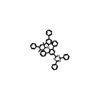 CC1CC2N(c3c(-c4ccccc4)cc(-c4nc(-c5ccccc5)nc(-c5ccccc5)n4)cc3-c3ccccc3)c3ccc(-c4ccccc4)cc3C2(C)C=C1c1ccccc1